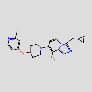 Cc1cc(OC2CCN(c3ccn4c(CC5CC5)nnc4c3C(F)(F)F)CC2)ccn1